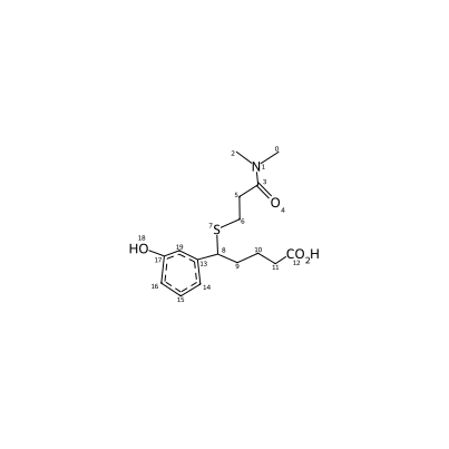 CN(C)C(=O)CCSC(CCCC(=O)O)c1cccc(O)c1